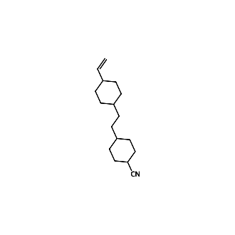 C=CC1CCC(CCC2CCC(C#N)CC2)CC1